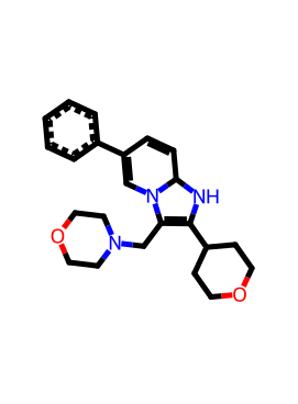 C1=CC2NC(C3CCOCC3)=C(CN3CCOCC3)N2C=C1c1ccccc1